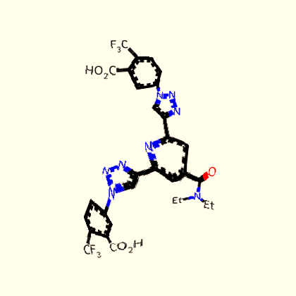 CCN(CC)C(=O)c1cc(-c2cn(-c3ccc(C(F)(F)F)c(C(=O)O)c3)nn2)nc(-c2cn(-c3ccc(C(F)(F)F)c(C(=O)O)c3)nn2)c1